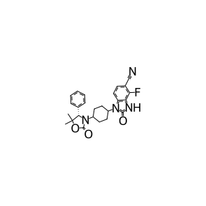 CC1(C)OC(=O)N(C2CCC(n3c(=O)[nH]c4c(F)c(C#N)ccc43)CC2)[C@H]1c1ccccc1